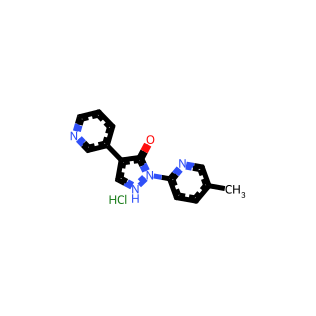 Cc1ccc(-n2[nH]cc(-c3cccnc3)c2=O)nc1.Cl